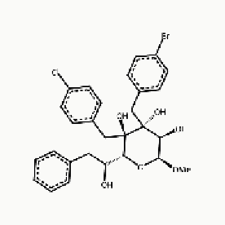 CO[C@H]1O[C@H](C(O)Cc2ccccc2)[C@](O)(Cc2ccc(Cl)cc2)[C@@](O)(Cc2ccc(Br)cc2)[C@H]1O